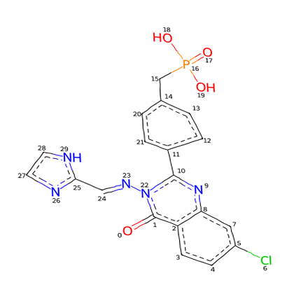 O=c1c2ccc(Cl)cc2nc(-c2ccc(CP(=O)(O)O)cc2)n1N=Cc1ncc[nH]1